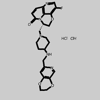 Cl.Cl.O=c1ccc2ncc(F)c3c2n1[C@@H](CN1CCC(NCc2cc4c(cn2)OCCO4)CC1)CO3